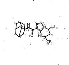 O=C(NC12CC3CC(CC(C3)C1)C2)c1cnn2c1NC(C(F)(F)F)CC2C(F)(F)F